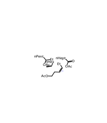 C=CCCCCCC.CC/C=C\CCOC(C)=O.CCCCCC(CC)OC(C)=O.CCCCCCCC(=O)OC(C)=O